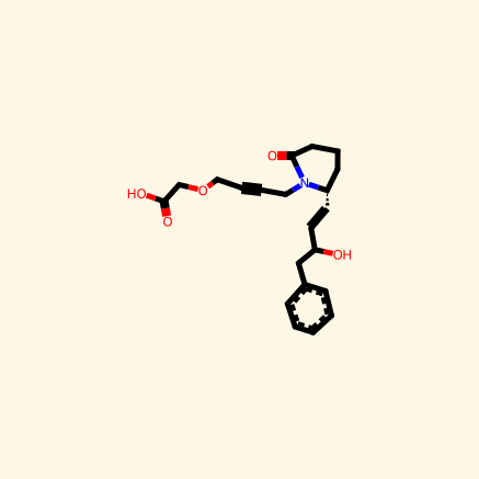 O=C(O)COCC#CCN1C(=O)CCC[C@@H]1C=CC(O)Cc1ccccc1